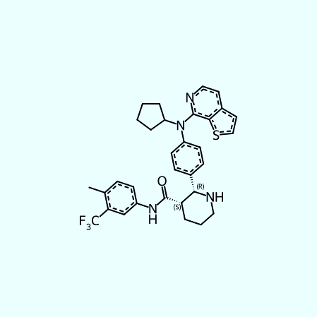 Cc1ccc(NC(=O)[C@H]2CCCN[C@H]2c2ccc(N(c3nccc4ccsc34)C3CCCC3)cc2)cc1C(F)(F)F